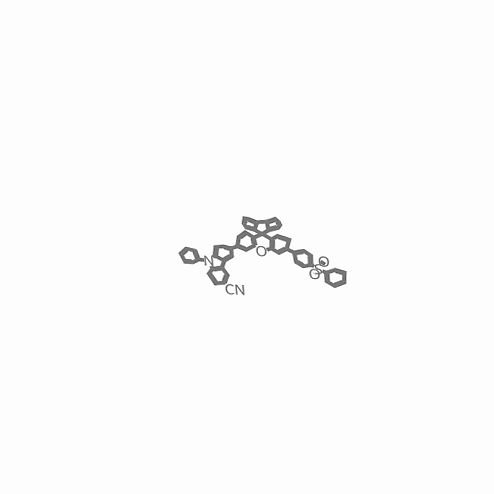 N#Cc1ccc2c(c1)c1cc(-c3ccc4c(c3)Oc3cc(-c5ccc(S(=O)(=O)c6ccccc6)cc5)ccc3C43c4ccccc4-c4ccccc43)ccc1n2-c1ccccc1